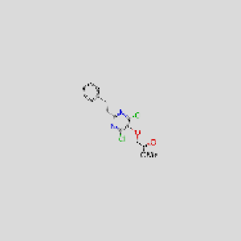 COC(=O)COc1c(Cl)nc(/C=C/c2ccccc2)nc1Cl